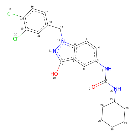 O=C(Nc1ccc2c(c1)c(O)nn2Cc1ccc(Cl)c(Cl)c1)NC1CCCCC1